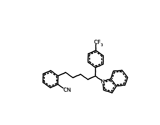 N#Cc1ccccc1CCCCC(c1ccc(C(F)(F)F)cc1)n1ccc2ccccc21